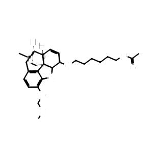 COCOc1ccc2c3c1OC1C(OCCCCCCOC(C)=O)C=C[C@H]4[C@@H](C2)N(C)CC[C@]314